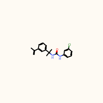 C=C(C)c1cccc(C(C)(C)NC(=O)Nc2cccc(Cl)c2)c1